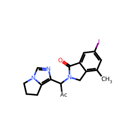 CC(=O)C(c1ncn2c1CCC2)N1Cc2c(C)cc(I)cc2C1=O